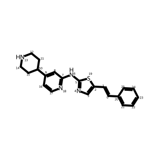 C(=C\c1cnc(Nc2cc(C3CCNCC3)ccn2)s1)/c1ccccc1